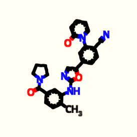 Cc1ccc(C(=O)N2CCCC2)cc1Nc1ncc(-c2ccc(C#N)c(-n3ccccc3=O)c2)o1